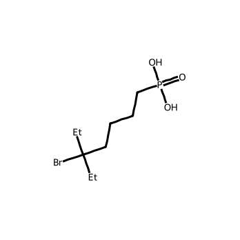 CCC(Br)(CC)CCCCP(=O)(O)O